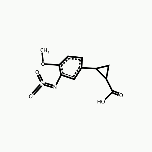 COc1ccc(C2CC2C(=O)O)cc1N=S(=O)=O